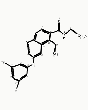 O=C(O)CNC(=O)c1ncc2ccc(Oc3cc(F)cc(F)c3)cc2c1CO